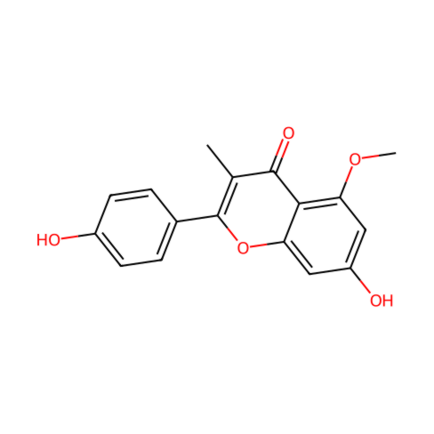 COc1cc(O)cc2oc(-c3ccc(O)cc3)c(C)c(=O)c12